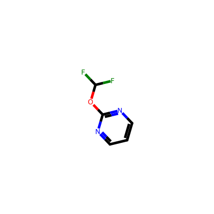 FC(F)Oc1ncccn1